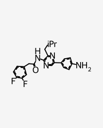 CC(C)Cc1nc(-c2ccc(N)cc2)cnc1NC(=O)Cc1ccc(F)c(F)c1